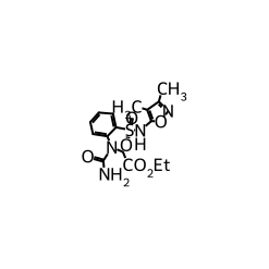 CCOC(=O)CN(C(N)=O)c1ccccc1S(=O)(=O)Nc1onc(C)c1C